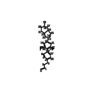 C=CCCc1ccc(-c2c(F)cc(C3CCC4CC(C)CCC4C3)cc2F)cc1